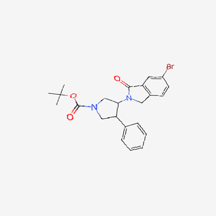 CC(C)(C)OC(=O)N1CC(c2ccccc2)C(N2Cc3ccc(Br)cc3C2=O)C1